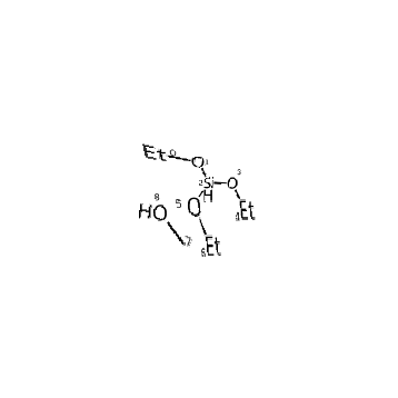 CCO[SiH](OCC)OCC.CO